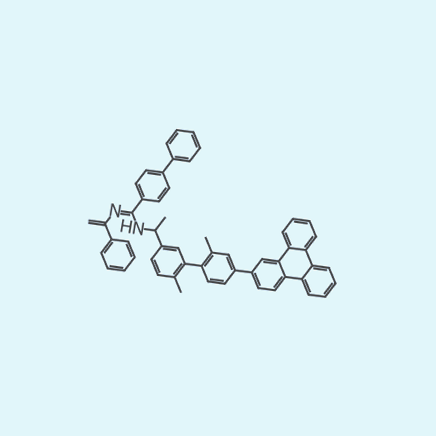 C=C(/N=C(\NC(C)c1ccc(C)c(-c2ccc(-c3ccc4c5ccccc5c5ccccc5c4c3)cc2C)c1)c1ccc(-c2ccccc2)cc1)c1ccccc1